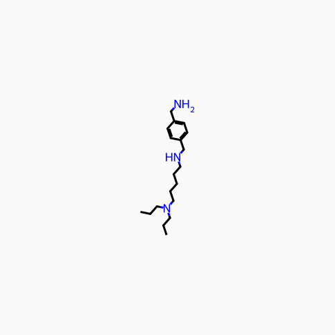 CCCN(CCC)CCCCCNCc1ccc(CN)cc1